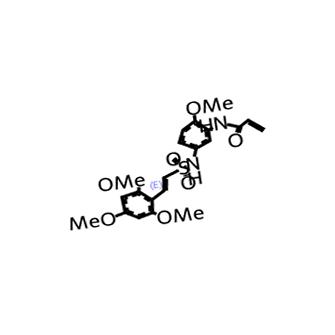 C=CC(=O)Nc1cc(NS(=O)(=O)/C=C/c2c(OC)cc(OC)cc2OC)ccc1OC